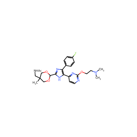 CC(=O)NCC1(C)COC(c2nc(-c3ccc(F)cc3)c(-c3ccnc(OCCN(C)C)n3)[nH]2)OC1